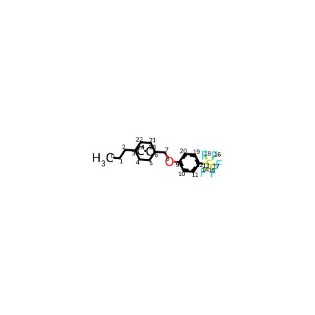 CCCC12CCC(COc3ccc(S(F)(F)(F)(F)F)cc3)(CC1)CC2